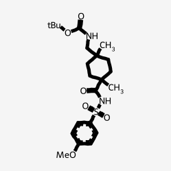 COc1ccc(S(=O)(=O)NC(=O)C2(C)CCC(C)(CNC(=O)OC(C)(C)C)CC2)cc1